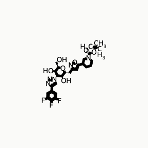 CC(C)(C)OC(=O)N1CCCC(c2cc(C[C@H]3O[C@H](CO)[C@H](O)[C@H](n4cc(-c5cc(F)c(F)c(F)c5)nn4)[C@H]3O)no2)C1